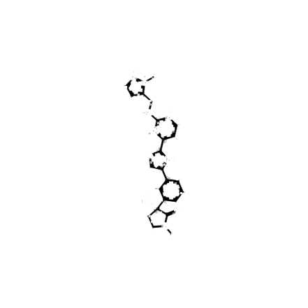 CN1CC[C@@](O)(c2cccc(-c3csc(-c4ccnc(NCc5ccnn5C)n4)n3)c2)C1=O